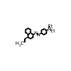 CC=Cc1ccc(N=Nc2ccc(N(CC)CC)cc2)c2ccccc12